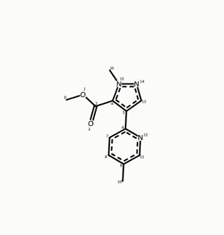 COC(=O)c1c(-c2ccc(C)cn2)cnn1C